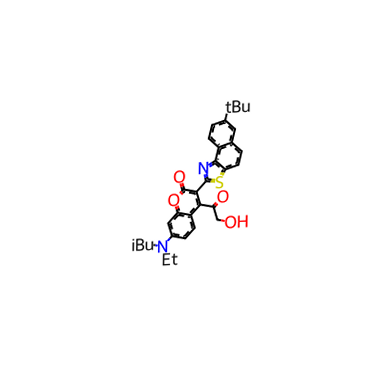 CCC(C)N(CC)c1ccc2c(C(=O)CO)c(-c3nc4c(ccc5cc(C(C)(C)C)ccc54)s3)c(=O)oc2c1